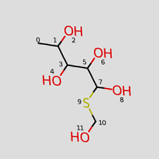 CC(O)C(O)C(O)C(O)SCO